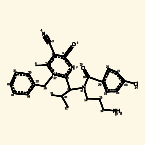 Cc1c(C#N)c(=O)nc(C(C(C)C)N(CCCN)C(=O)c2ccc(Cl)cc2)n1Cc1ccccc1